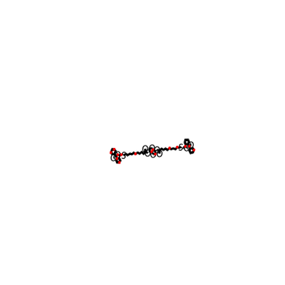 O=C(CCCCCCCCCCSCCOP(=O)(c1ccccc1)c1ccccc1)O[C@H]1COC2C1OC[C@H]2OC(=O)CCCCCCCCCCSCCOP(=O)(c1ccccc1)c1ccccc1